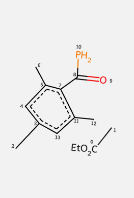 CCOC(C)=O.Cc1cc(C)c(C(=O)P)c(C)c1